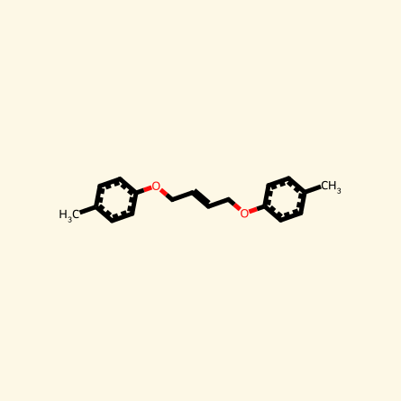 Cc1ccc(OC/C=C/COc2ccc(C)cc2)cc1